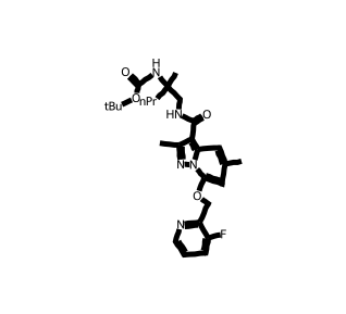 CCCC(C)(CNC(=O)c1c(C)nn2c(OCc3ncccc3F)cc(C)cc12)NC(=O)OC(C)(C)C